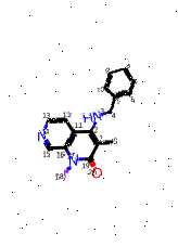 Cc1c(NCc2ccccc2)c2ccncc2n(I)c1=O